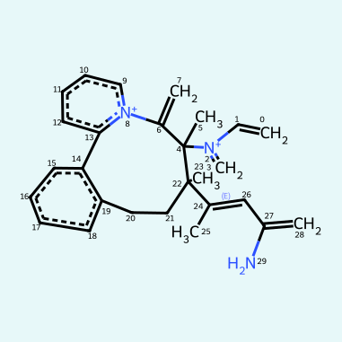 C=C[N+](=C)C1(C)C(=C)[n+]2ccccc2-c2ccccc2CCC1(C)/C(C)=C/C(=C)N